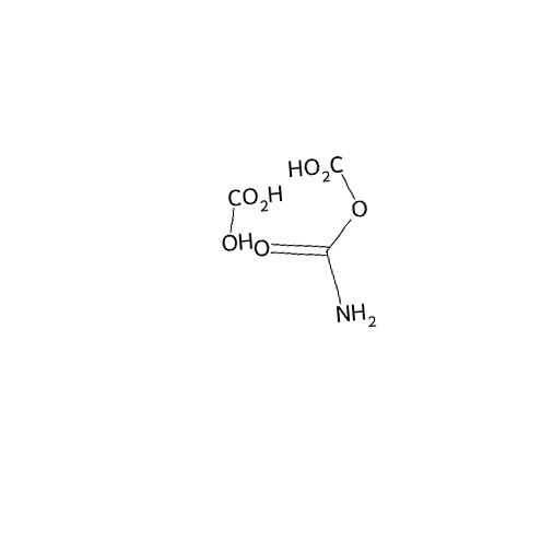 NC(=O)OC(=O)O.O=C(O)O